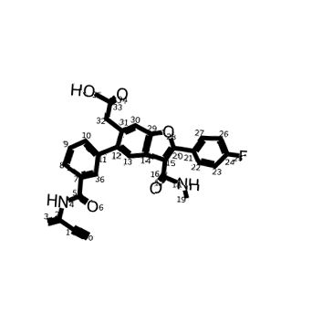 C#CC(=C)NC(=O)c1cccc(-c2cc3c(C(=O)NC)c(-c4ccc(F)cc4)oc3cc2CC(=O)O)c1